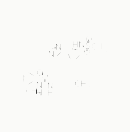 CCCCCNC(=O)Nc1c(C)cccc1OCCCn1cnc(-c2cccc(NS(C)(=O)=O)c2)c1